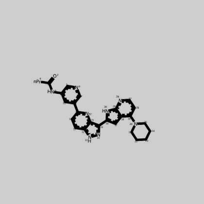 CCCC(=O)Nc1cncc(-c2ccc3[nH]nc(-c4cc5c(N6CCCCC6)ccnc5[nH]4)c3n2)c1